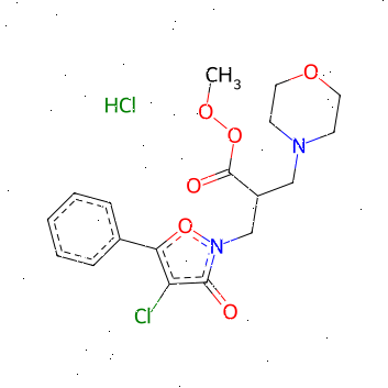 COOC(=O)C(CN1CCOCC1)Cn1oc(-c2ccccc2)c(Cl)c1=O.Cl